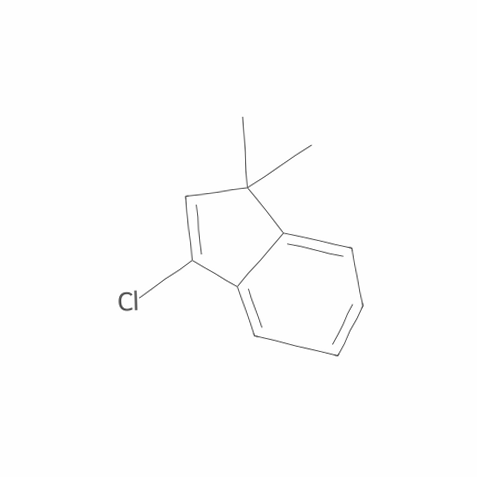 CC1(C)C=C(Cl)c2ccccc21